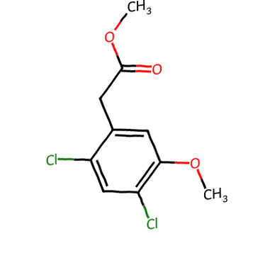 COC(=O)Cc1cc(OC)c(Cl)cc1Cl